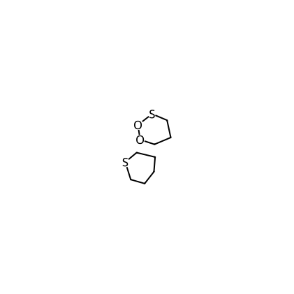 C1CCSCC1.C1COOSC1